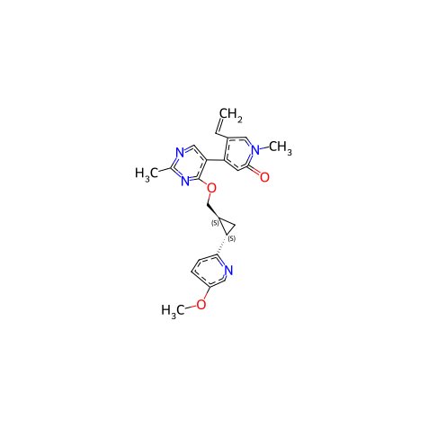 C=Cc1cn(C)c(=O)cc1-c1cnc(C)nc1OC[C@H]1C[C@@H]1c1ccc(OC)cn1